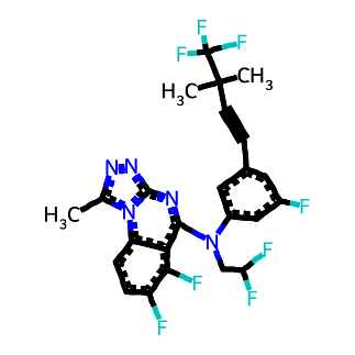 Cc1nnc2nc(N(CC(F)F)c3cc(F)cc(C#CC(C)(C)C(F)(F)F)c3)c3c(F)c(F)ccc3n12